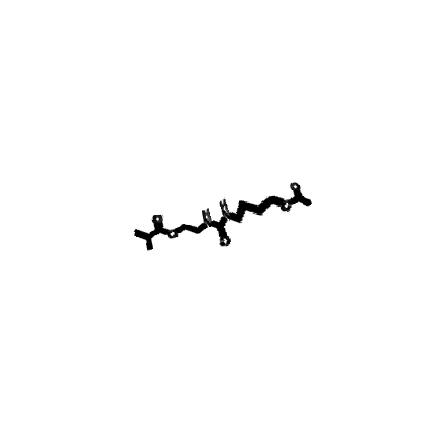 C=C(C)C(=O)OCCNC(=O)NCCCCOC(C)=O